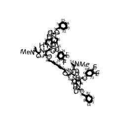 CN[C@@H](C)C(=O)N[C@H](C(=O)N1CC[C@@H]2[C@H]1[C@@H](COc1ccc(F)c(F)c1)CN2C(=O)OCc1ccccc1)[C@@H](C)OCC#CC#CCO[C@H](C)[C@H](NC(=O)[C@H](C)NC)C(=O)N1CC[C@@H]2[C@H]1[C@@H](COc1ccc(F)c(F)c1)CN2C(=O)OCc1ccccc1